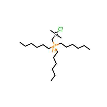 CCCCCC[PH](CCCCCC)(CCCCCC)C[Si](C)(C)Cl